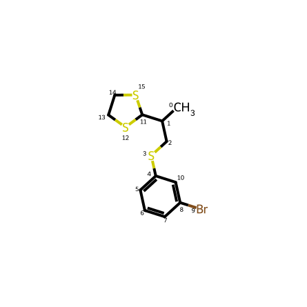 CC(CSc1cccc(Br)c1)C1SCCS1